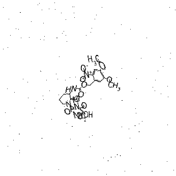 COc1cc(COC(=O)N[C@@H]2CCCN([P@@](N)(=O)NS(=O)(=O)O)C2=O)c([N+](=O)[O-])cc1OC